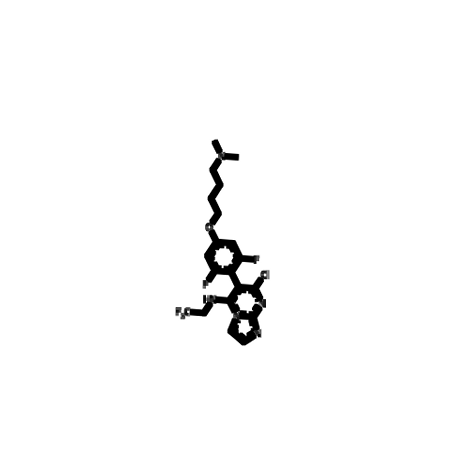 CN(C)CCCCOc1cc(F)c(-c2c(Cl)nc3nccn3c2NCC(F)(F)F)c(F)c1